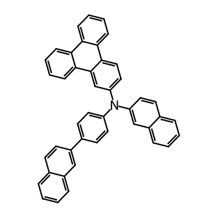 c1ccc2cc(-c3ccc(N(c4ccc5ccccc5c4)c4ccc5c6ccccc6c6ccccc6c5c4)cc3)ccc2c1